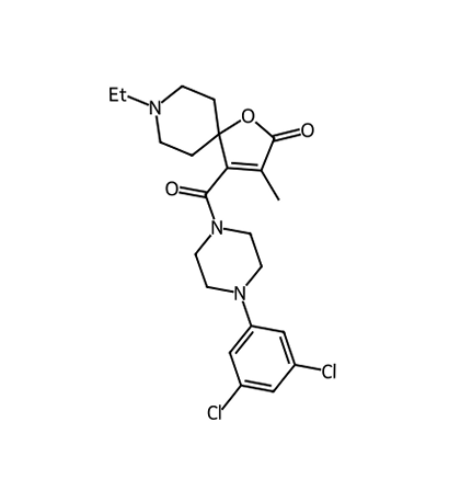 CCN1CCC2(CC1)OC(=O)C(C)=C2C(=O)N1CCN(c2cc(Cl)cc(Cl)c2)CC1